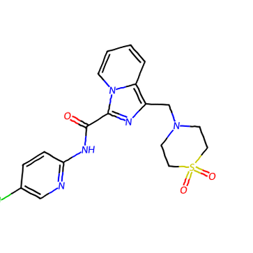 O=C(Nc1ccc(Cl)cn1)c1nc(CN2CCS(=O)(=O)CC2)c2ccccn12